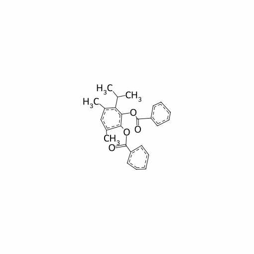 Cc1cc(C)c(C(C)C)c(OC(=O)c2ccccc2)c1OC(=O)c1ccccc1